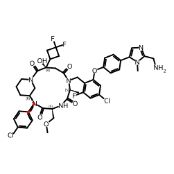 COC[C@@H]1NC(=O)[C@H](C)N(Cc2c(F)cc(Cl)cc2Oc2ccc(-c3cnc(CN)n3C)cc2)C(=O)C[C@@](O)(C2CC(F)(F)C2)C(=O)N2CCC[C@@](Cc3ccc(Cl)cc3)(C2)N(C)C1=O